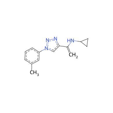 C=C(NC1CC1)c1cn(-c2cccc(C)c2)nn1